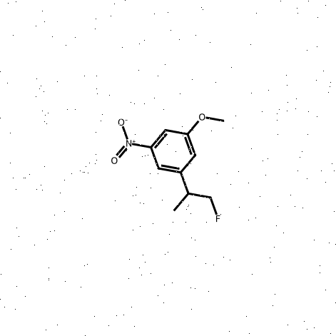 COc1cc([C](C)CF)cc([N+](=O)[O-])c1